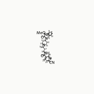 CONC(=O)N(Cc1ccsc1)C1CCN([C@H](C)CCNC(=O)c2c(C)cc(C#N)nc2C)CC1